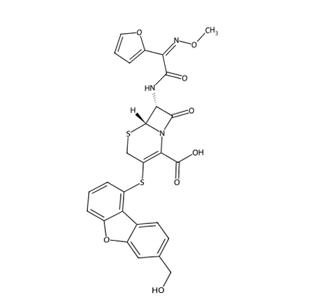 CO/N=C(\C(=O)N[C@@H]1C(=O)N2C(C(=O)O)=C(Sc3cccc4oc5cc(CO)ccc5c34)CS[C@H]12)c1ccco1